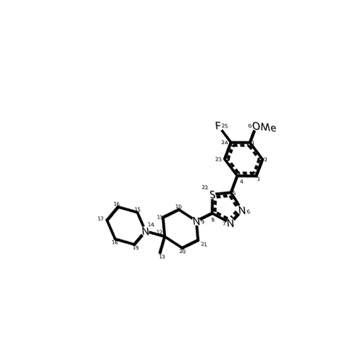 COc1ccc(-c2nnc(N3CCC(C)(N4CCCCC4)CC3)s2)cc1F